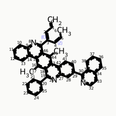 C=C/C=C(\C=C/C)c1nc2ccccc2c2c(C)c3c(-c4ccccc4)nc4cc(-c5nccc6ccccc56)ccc4c3c(C)c12